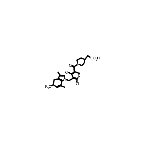 CC1=CC(C(F)(F)F)Cc2c(C)cn(Cc3c(Cl)ncc(C(=O)N4CCC(CC(=O)O)CC4)c3Cl)c21